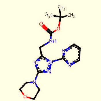 CC(C)(C)OC(=O)NCc1nc(N2CCOCC2)nn1-c1ncccn1